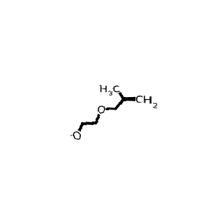 C=C(C)COCC[O]